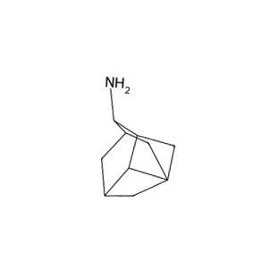 NC1C2CC3CC4(C2)CC1C34